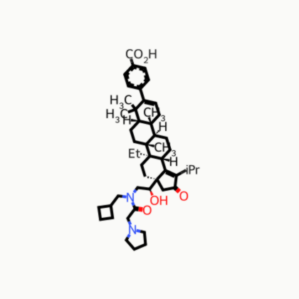 CC[C@@]12CC[C@@]3([C@@H](O)CN(CC4CCC4)C(=O)CN4CCCC4)CC(=O)C(C(C)C)=C3[C@H]1CC[C@@H]1[C@@]3(C)CC=C(c4ccc(C(=O)O)cc4)C(C)(C)[C@H]3CC[C@]12C